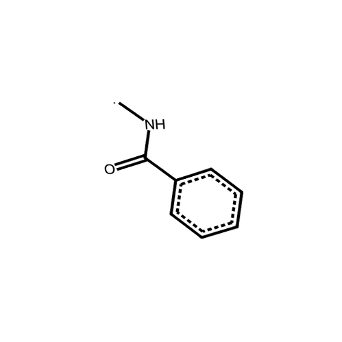 [CH2]NC(=O)c1ccccc1